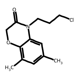 Cc1cc(C)c2c(c1)N(CCCCl)C(=O)CO2